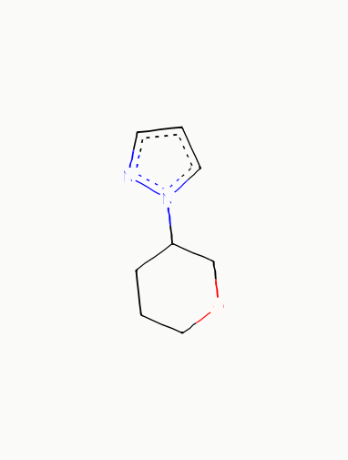 [c]1cnn(C2CCCOC2)c1